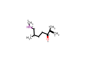 C=C(C)C(=O)CCC(C)CPC